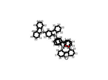 c1ccc(-c2cccc(-c3cccc4oc5cccc(-n6c7ccccc7c7cc(-n8c9ccccc9c9cc(-n%10c%11ccccc%11c%11ccccc%11%10)ccc98)ccc76)c5c34)c2)cc1